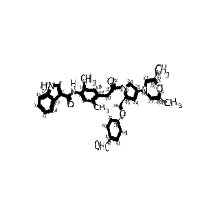 Cc1cc(NC(=O)c2c[nH]c3ccccc23)c(C)cc1CC(=O)N1C[C@@H](N2C[C@@H](C)O[C@@H](C)C2)C[C@H]1CO[C@H]1CC[C@H](C=O)CC1